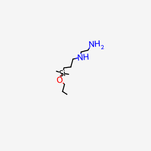 CCCO[Si](C)(C)CCCNCCN